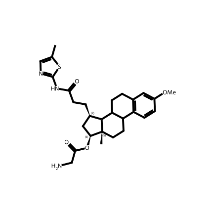 COc1ccc2c(c1)CCC1C2CC[C@@]2(C)C1[C@H](CCC(=O)Nc1ncc(C)s1)C[C@@H]2OC(=O)CN